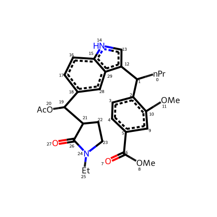 CCCC(c1ccc(C(=O)OC)cc1OC)c1c[nH]c2ccc(C(OC(C)=O)C3CCN(CC)C3=O)cc12